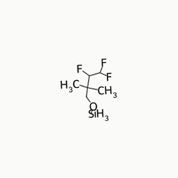 CC(C)(CO[SiH3])C(F)C(F)F